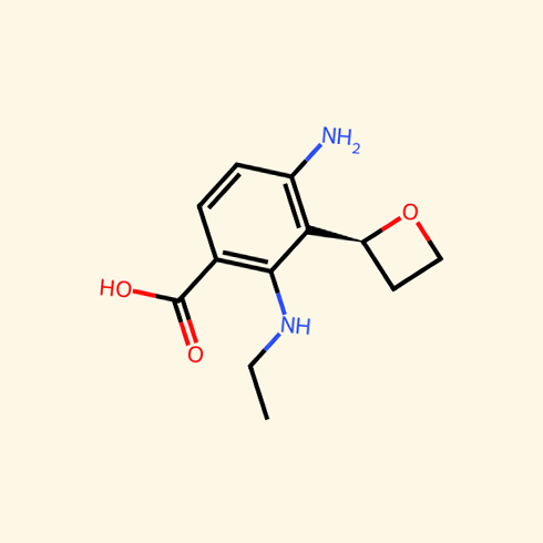 CCNc1c(C(=O)O)ccc(N)c1[C@@H]1CCO1